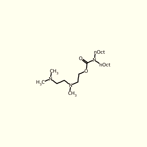 CCCCCCCCN(CCCCCCCC)C(=O)OCCN(C)CCN(C)C